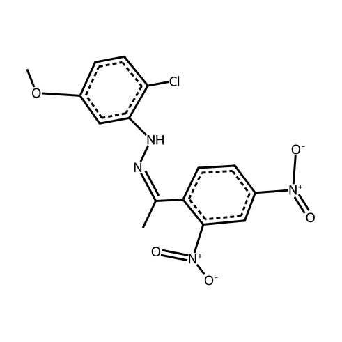 COc1ccc(Cl)c(N/N=C(/C)c2ccc([N+](=O)[O-])cc2[N+](=O)[O-])c1